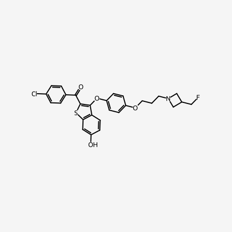 O=C(c1ccc(Cl)cc1)c1sc2cc(O)ccc2c1Oc1ccc(OCCCN2CC(CF)C2)cc1